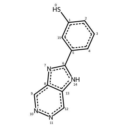 Sc1cccc(-c2nc3cnncc3[nH]2)c1